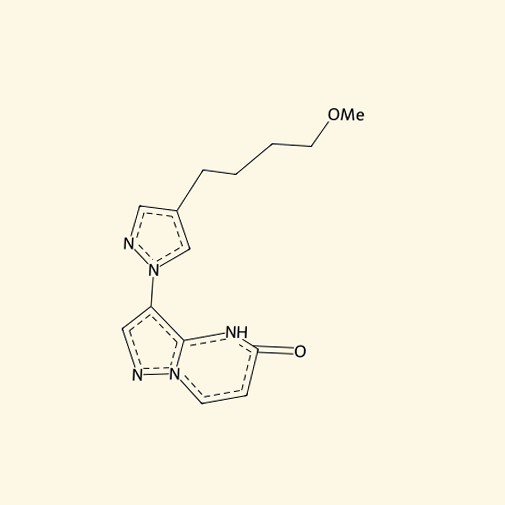 COCCCCc1cnn(-c2cnn3ccc(=O)[nH]c23)c1